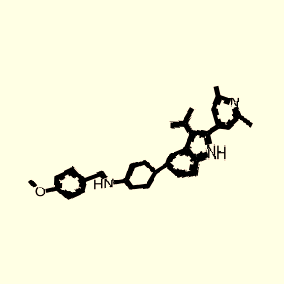 COc1ccc(CNC2CCC(c3ccc4[nH]c(-c5cc(C)nc(C)c5)c(C(C)C)c4c3)CC2)cc1